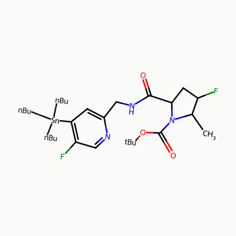 CCC[CH2][Sn]([CH2]CCC)([CH2]CCC)[c]1cc(CNC(=O)C2CC(F)C(C)N2C(=O)OC(C)(C)C)ncc1F